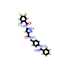 N=C(Nc1ccc(CNC(=O)c2cc(NC(=O)c3cc(F)c(F)cc3Cl)[nH]n2)cc1)c1ccccc1F